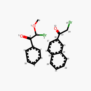 COC(Br)C(=O)c1ccccc1.O=C(CBr)c1ccc2ccccc2c1